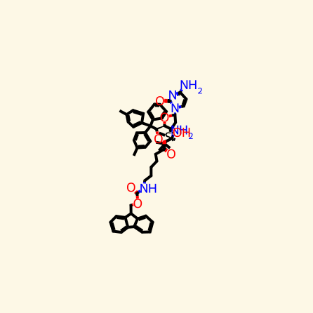 Cc1ccc(C(c2ccccc2)(c2ccc(C)cc2)C(OC(CN)C(=O)CCCCCNC(=O)OCC2c3ccccc3-c3ccccc32)[C@H]2O[C@@H](n3ccc(N)nc3=O)C[C@@]2(O)[Si](C)(C)C(C)(C)C)cc1